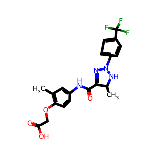 Cc1cc(NC(=O)C2=NN(c3ccc(C(F)(F)F)cc3)NC2C)ccc1OCC(=O)O